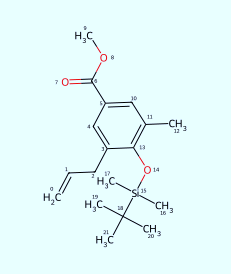 C=CCc1cc(C(=O)OC)cc(C)c1O[Si](C)(C)C(C)(C)C